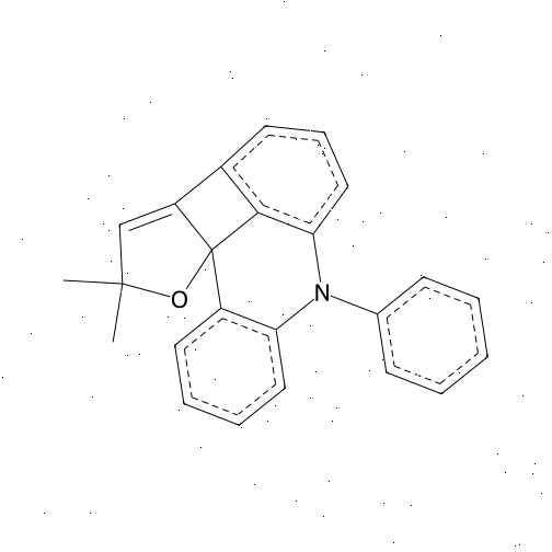 CC1(C)C=C2c3cccc4c3C2(O1)c1ccccc1N4c1ccccc1